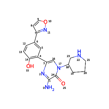 Nc1nc(-c2cc(-c3ccon3)ccc2O)cn(C2CCCNC2)c1=O